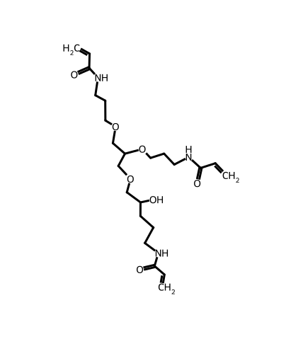 C=CC(=O)NCCCOCC(COCC(O)CCCNC(=O)C=C)OCCCNC(=O)C=C